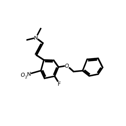 CN(C)C=Cc1cc(OCc2ccccc2)c(F)cc1[N+](=O)[O-]